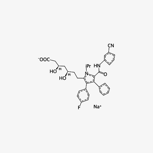 CC(C)n1c(CC[C@@H](O)C[C@@H](O)CC(=O)[O-])c(-c2ccc(F)cc2)c(-c2ccccc2)c1C(=O)Nc1cccc(C#N)c1.[Na+]